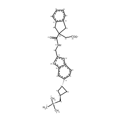 C[N+](C)(C)C[C@H]1C[C@H](c2ccc3nc(CNC(=O)C4(CC(=O)[O-])Cc5ccccc5C4)sc3c2)C1